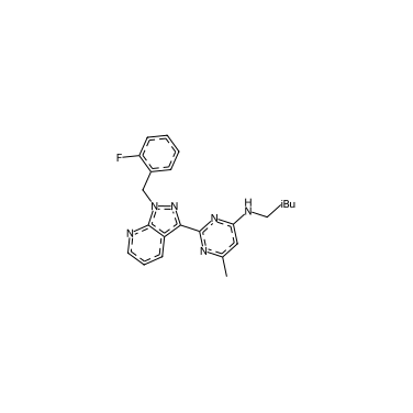 CCC(C)CNc1cc(C)nc(-c2nn(Cc3ccccc3F)c3ncccc23)n1